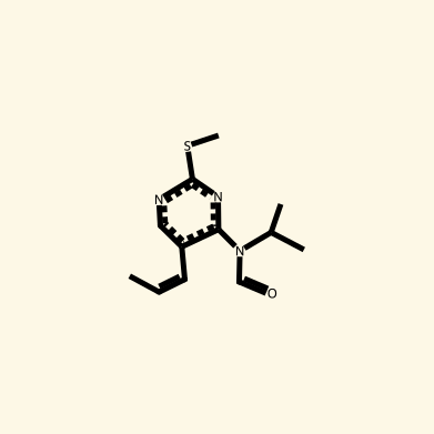 C/C=C\c1cnc(SC)nc1N(C=O)C(C)C